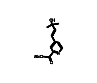 COC(=O)c1cc(/C=C/C(C)(C)O)ccn1